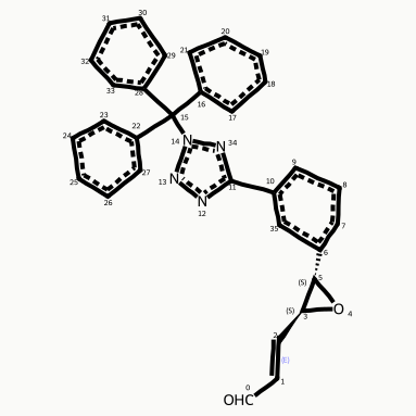 O=C/C=C/[C@@H]1O[C@H]1c1cccc(-c2nnn(C(c3ccccc3)(c3ccccc3)c3ccccc3)n2)c1